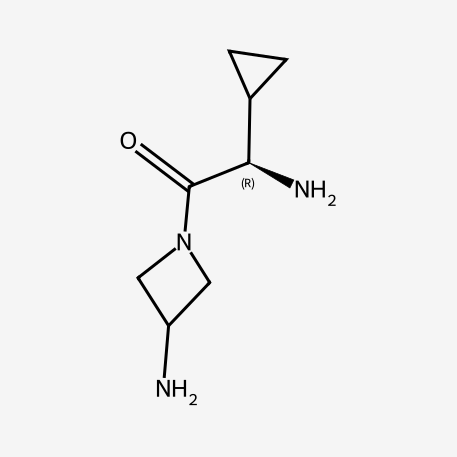 NC1CN(C(=O)[C@H](N)C2CC2)C1